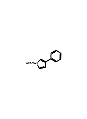 O=Cn1ccc(-c2ccccc2)c1